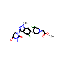 Cn1nc(N2CCC(=O)NC2=O)c2cc(F)c([C@@H]3CCN(CC(=O)OC(C)(C)C)CC3(F)F)cc21